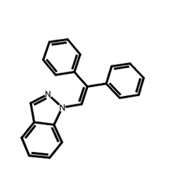 C(=C(c1ccccc1)c1ccccc1)n1ncc2ccccc21